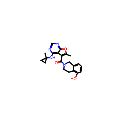 Cc1oc2ncnc(NC3(C)CC3)c2c1C(=O)N1CCc2c(O)cccc2C1